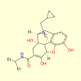 CCC(CC)NC(=O)C1=C(O)[C@@H]2Oc3c(O)ccc4c3[C@@]23CCN(CC2CC2)[C@H](C4)[C@]3(O)C1